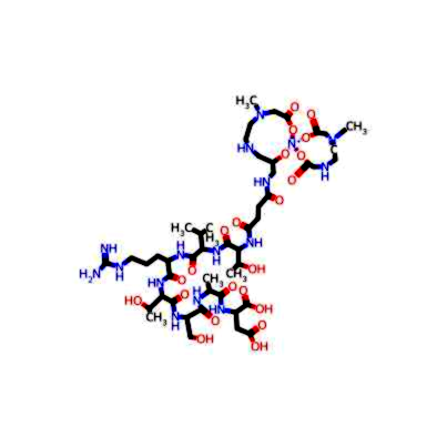 CC(NC(=O)C(CO)NC(=O)C(NC(=O)C(CCCNC(=N)N)NC(=O)C(NC(=O)C(NC(=O)CCC(=O)NCC1CNCCN(C)CC(=O)O[N+]2(OC(=O)CNCCN(C)CC(=O)O2)O1)C(C)O)C(C)C)C(C)O)C(=O)NC(CC(=O)O)C(=O)O